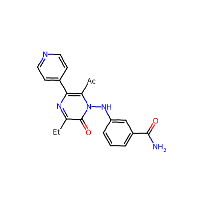 CCc1nc(-c2ccncc2)c(C(C)=O)n(Nc2cccc(C(N)=O)c2)c1=O